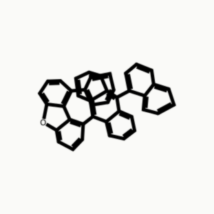 c1ccc(-c2cccc3oc4cccc(-c5c6ccccc6c(-c6cccc7ccccc67)c6ccccc56)c4c23)cc1